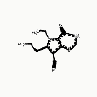 CCn1c(CCN)c(C#N)c2nc[nH]c(=O)c21